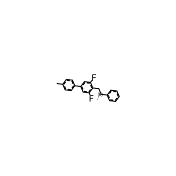 Cc1ccc(-c2cc(F)c(C[C@@H](C)c3ccccc3)c(F)c2)cc1